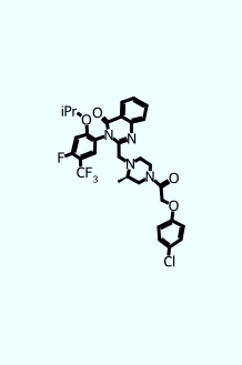 CC(C)Oc1cc(F)c(C(F)(F)F)cc1-n1c(CN2CCN(C(=O)COc3ccc(Cl)cc3)C[C@H]2C)nc2ccccc2c1=O